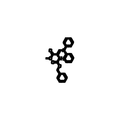 COC(=O)/C(=C/N(c1ccccc1)c1ccccc1)NC(=O)OCc1ccccc1